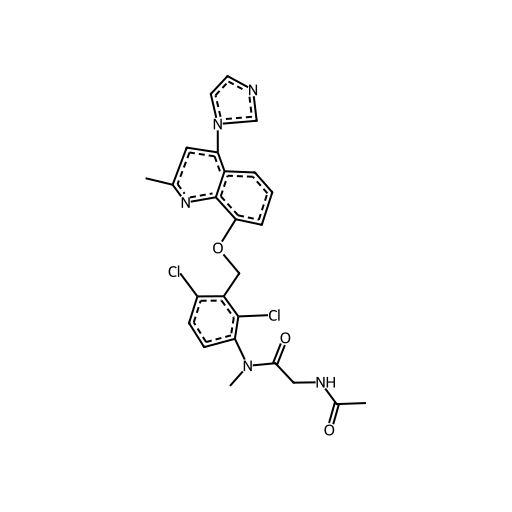 CC(=O)NCC(=O)N(C)c1ccc(Cl)c(COc2cccc3c(-n4ccnc4)cc(C)nc23)c1Cl